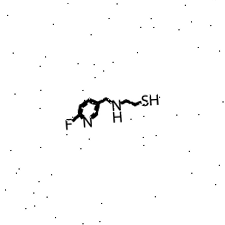 Fc1ccc(CNCCS)cn1